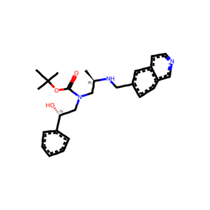 C[C@H](CN(C[C@@H](O)c1ccccc1)C(=O)OC(C)(C)C)NCc1ccc2cnccc2c1